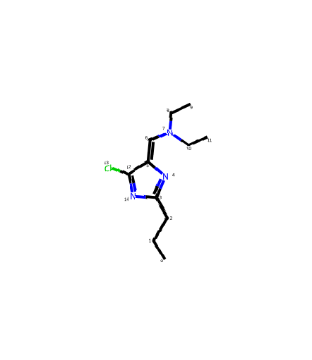 CCCC1=NC(=CN(CC)CC)C(Cl)=N1